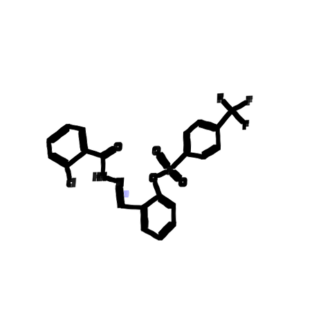 O=C(N/N=C/c1ccccc1OS(=O)(=O)c1ccc(C(F)(F)F)cc1)c1ccccc1Cl